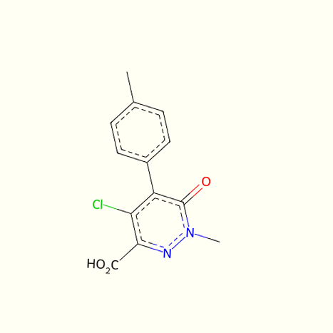 Cc1ccc(-c2c(Cl)c(C(=O)O)nn(C)c2=O)cc1